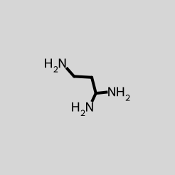 NCCC(N)N